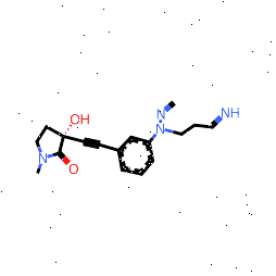 C=NN(CCC=N)c1cccc(C#C[C@]2(O)CCN(C)C2=O)c1